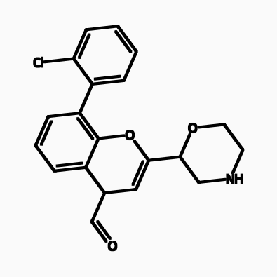 O=CC1C=C(C2CNCCO2)Oc2c(-c3ccccc3Cl)cccc21